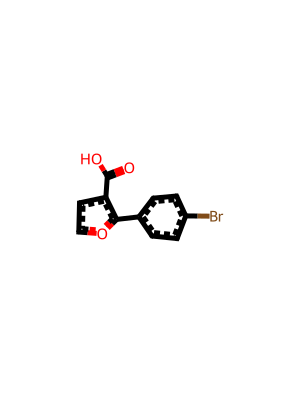 O=C(O)c1ccoc1-c1ccc(Br)cc1